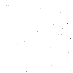 S=C1CC=CC=[C]1[Ti+]([C]1=CC=CC1)[C]1=CC=CC1.[Cl-]